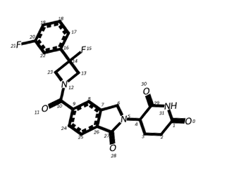 O=C1CCC(N2Cc3cc(C(=O)N4CC(F)(c5cccc(F)c5)C4)ccc3C2=O)C(=O)N1